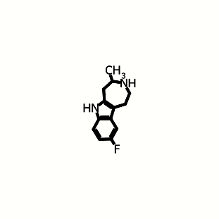 CC1Cc2[nH]c3ccc(F)cc3c2CCN1